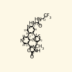 Cc1csc(-c2cc(NC(=O)NCC(F)(F)F)ncc2-c2cncc(-c3n[nH]c(=O)o3)c2)n1